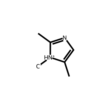 [CH2-][NH+]1C(C)=CN=C1C